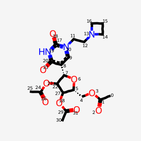 CC(=O)OC[C@H]1O[C@@H](c2cn(CCN3CCC3)c(=O)[nH]c2=O)C(OC(C)=O)C1OC(C)=O